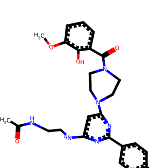 COc1cccc(C(=O)N2CCN(c3cc(NCCNC(C)=O)nc(-c4ccc(Cl)cc4)n3)CC2)c1O